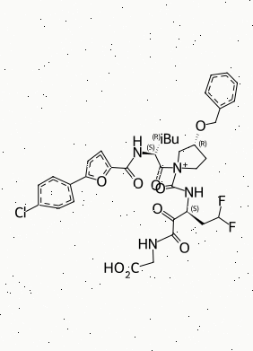 CC[C@@H](C)[C@H](NC(=O)c1ccc(-c2ccc(Cl)cc2)o1)C(=O)[N+]1(C(=O)N[C@@H](CC(F)F)C(=O)C(=O)NCC(=O)O)CC[C@@H](OCc2ccccc2)C1